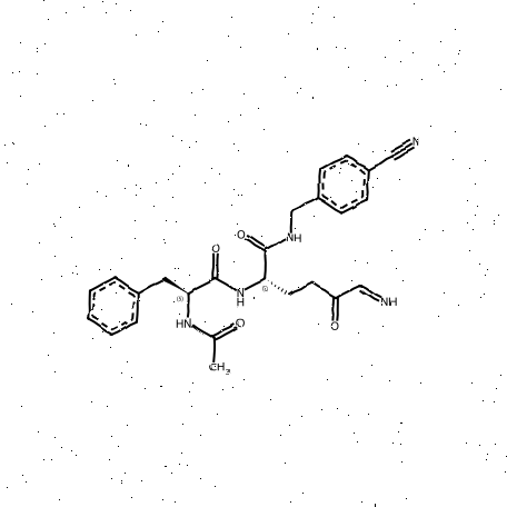 CC(=O)N[C@@H](Cc1ccccc1)C(=O)N[C@@H](CCC(=O)C=N)C(=O)NCc1ccc(C#N)cc1